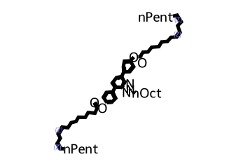 CCCCC/C=C\C/C=C\CCCCCCCC(=O)Oc1ccc(-c2ccc(-c3ccc(OC(=O)CCCCCCC/C=C\C/C=C\CCCCC)cc3)c3nn(CCCCCCCC)nc23)cc1